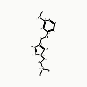 COc1cccc(OCc2cn(CCN(C)C)nn2)c1